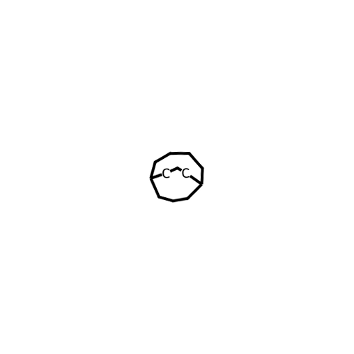 C1CCC2CCCC(C1)CCC2